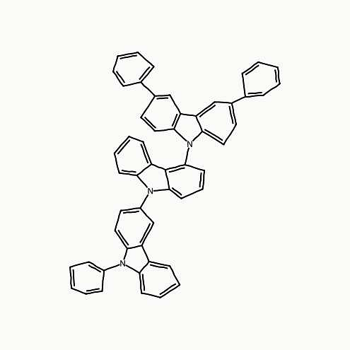 c1ccc(-c2ccc3c(c2)c2cc(-c4ccccc4)ccc2n3-c2cccc3c2c2ccccc2n3-c2ccc3c(c2)c2ccccc2n3-c2ccccc2)cc1